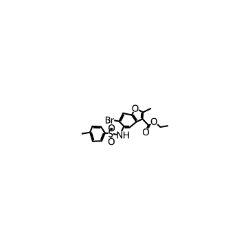 CCOC(=O)c1c(C)oc2cc(Br)c(NS(=O)(=O)c3ccc(C)cc3)cc12